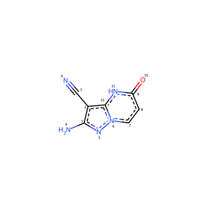 N#Cc1c(N)nn2ccc(=O)[nH]c12